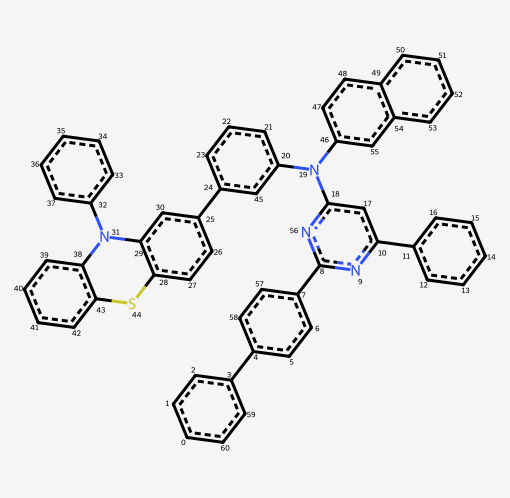 c1ccc(-c2ccc(-c3nc(-c4ccccc4)cc(N(c4cccc(-c5ccc6c(c5)N(c5ccccc5)c5ccccc5S6)c4)c4ccc5ccccc5c4)n3)cc2)cc1